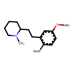 CCCCOc1ccc(NC)c(CCC2CCCCN2C)c1